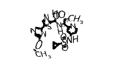 CCOc1cncc(-c2cnc(C(=O)N[C@@H](c3cc(NS(=O)(=O)C4CC4)ccn3)[C@@H](C)O)s2)n1